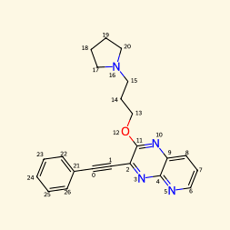 C(#Cc1nc2ncccc2nc1OCCCN1CCCC1)c1ccccc1